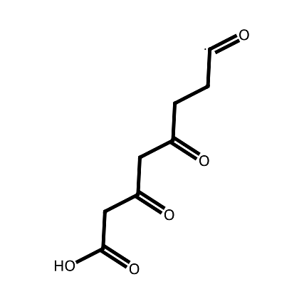 O=[C]CCC(=O)CC(=O)CC(=O)O